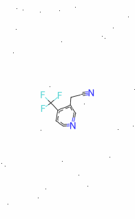 N#CCc1cnccc1C(F)(F)F